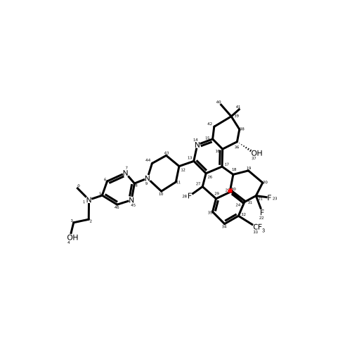 CN(CCO)c1cnc(N2CCC(c3nc4c(c(C5CCC(F)(F)CC5)c3C(F)c3ccc(C(F)(F)F)cc3)[C@@H](O)CC(C)(C)C4)CC2)nc1